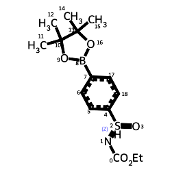 CCOC(=O)/N=[SH](=O)/c1ccc(B2OC(C)(C)C(C)(C)O2)cc1